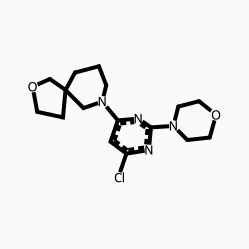 Clc1cc(N2CCCC3(CCOC3)C2)nc(N2CCOCC2)n1